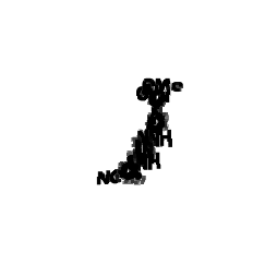 COC(=O)c1cncc(N2CCC(Nc3nccc(Nc4c(C)cc(C#N)cc4C)n3)CC2)c1